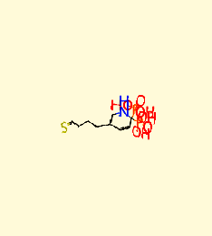 O=P(O)(O)C1(P(=O)(O)O)C=CC(CCCC=S)CN1